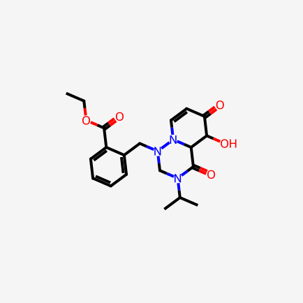 CCOC(=O)c1ccccc1CN1CN(C(C)C)C(=O)C2C(O)C(=O)C=CN21